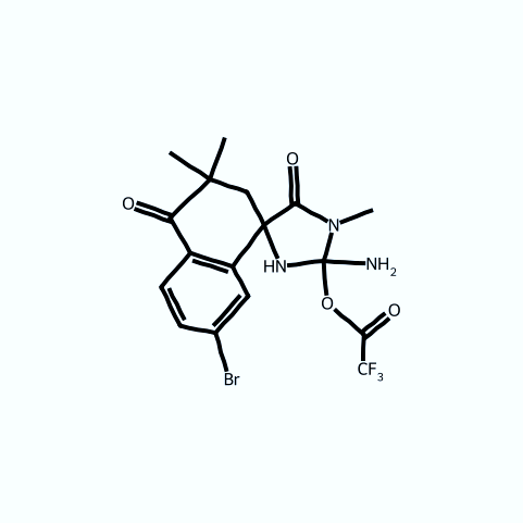 CN1C(=O)C2(CC(C)(C)C(=O)c3ccc(Br)cc32)NC1(N)OC(=O)C(F)(F)F